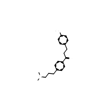 CC(C)c1ccc(CCC(=O)c2ccc(CCCN(C)C)cc2)cc1